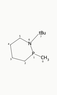 CP1CCCCN1C(C)(C)C